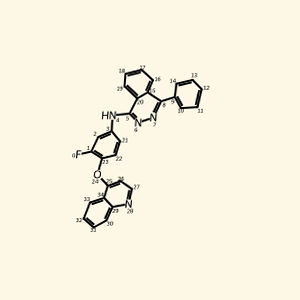 Fc1cc(Nc2nnc(-c3ccccc3)c3ccccc23)ccc1Oc1ccnc2ccccc12